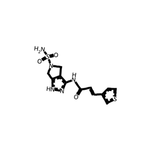 NS(=O)(=O)N1Cc2[nH]nc(NC(=O)C=Cc3ccsc3)c2C1